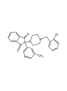 CCc1ccccc1CN1CCN(C2(c3cncc(C)c3)C(=O)c3ccccc3C2=O)CC1